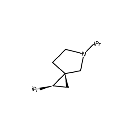 CC(C)[C@@H]1C[C@]12CCN(C(C)C)C2